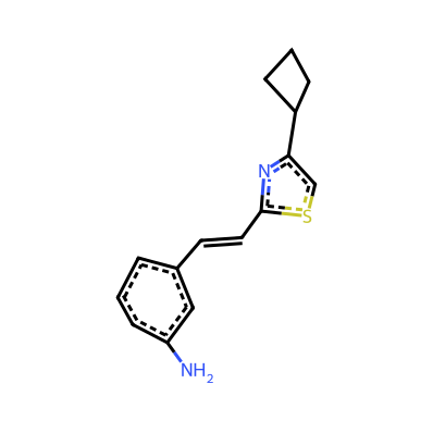 Nc1cccc(C=Cc2nc(C3CCC3)cs2)c1